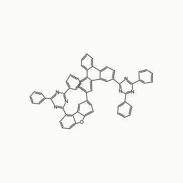 c1ccc(-c2nc(-c3ccccc3)nc(-c3ccc4c5ccccc5c5ccc(-c6ccc7oc8cccc(-c9nc(-c%10ccccc%10)nc(-c%10ccccc%10)n9)c8c7c6)cc5c4c3)n2)cc1